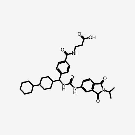 CC(C)N1C(=O)c2ccc(NC(=O)NC(c3ccc(C(=O)NCCC(=O)O)cc3)C3CCC(C4CCCCC4)CC3)cc2C1=O